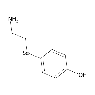 NCC[Se]c1ccc(O)cc1